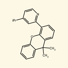 CC(C)c1ccnc(-c2cccc3c2Oc2ccccc2C3(C)C)c1